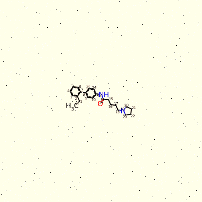 CCc1ccccc1-c1ccc(NC(=O)CCCCN2CCCC2)cc1